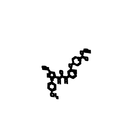 Cc1ccc(-n2nc(C(C)(C)C)cc2NC(=O)Nc2ccnc(OC3CCN(C(=O)OC(C)(C)C)CC3)c2)cc1